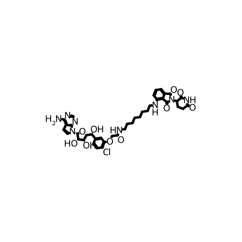 Nc1ncnc2c1ccn2[C@@H]1O[C@H]([C@H](O)c2ccc(Cl)c(OCC(=O)NCCCCCCCCNc3cccc4c3C(=O)N(C3CCC(=O)NC3=O)C4=O)c2)[C@@H](O)[C@H]1O